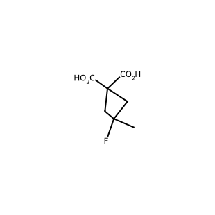 CC1(F)CC(C(=O)O)(C(=O)O)C1